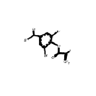 C=C(F)C(=O)Oc1c(Br)cc(C(Br)Br)cc1Br